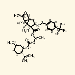 CC(OC(=O)O[C@@H]1C[C@H](C)CC[C@H]1C(C)C)OC(=O)[C@@]1(N)[C@H]2[C@@H](C[C@H]1OCc1ccc(C(F)(F)F)cc1)[C@]2(F)C(=O)O